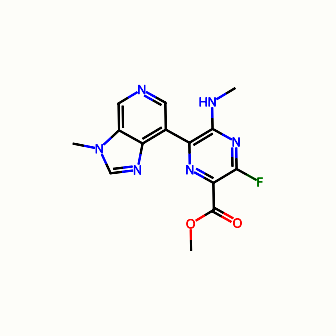 CNc1nc(F)c(C(=O)OC)nc1-c1cncc2c1ncn2C